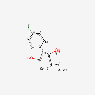 O=CCc1ccc(O)c(-c2ccc(F)cc2)c1O